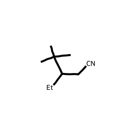 CCC(CC#N)C(C)(C)C